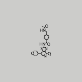 COc1ncc(C2=CCOCC2)c2sc(NC(=O)c3ccc([C@@H](C)NC(C)=O)cc3)nc12